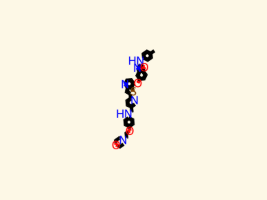 Cc1ccc(Nc2nc3cc(Oc4ccnc5cc(-c6ccc(CNc7ccc(OCCN8CCOCC8)cc7)cn6)sc45)ccc3o2)cc1